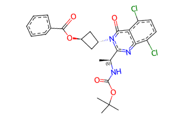 C[C@H](NC(=O)OC(C)(C)C)c1nc2c(Cl)ccc(Cl)c2c(=O)n1[C@H]1C[C@H](OC(=O)c2ccccc2)C1